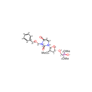 CO[C@@H]1[CH][C@@H](OCP(=O)(OC)OC)O[C@H]1n1ccc(=O)n(COCc2ccccc2)c1=O